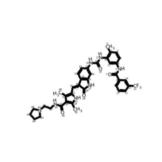 Cc1ccc(NC(=O)c2cccc(C(F)(F)F)c2)cc1NC(=O)Nc1ccc2c(c1)NC(=O)/C2=C\c1[nH]c(C)c(C(=O)NCCN2CCCC2)c1C